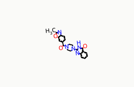 Cc1nc2ccc(C(=O)N3CCN(c4nc5ccccc5c(=O)[nH]4)CC3)cc2o1